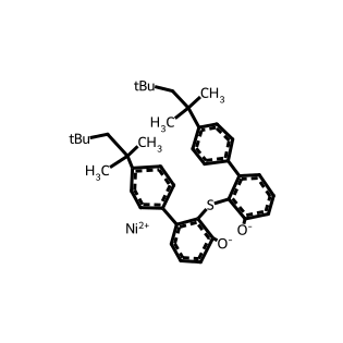 CC(C)(C)CC(C)(C)c1ccc(-c2cccc([O-])c2Sc2c([O-])cccc2-c2ccc(C(C)(C)CC(C)(C)C)cc2)cc1.[Ni+2]